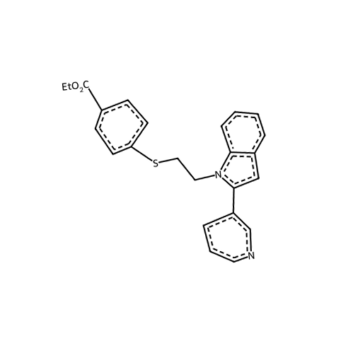 CCOC(=O)c1ccc(SCCn2c(-c3cccnc3)cc3ccccc32)cc1